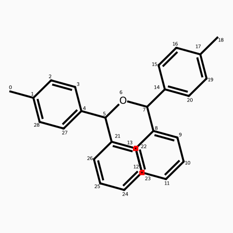 Cc1ccc(C(OC(c2ccccc2)c2ccc(C)cc2)c2ccccc2)cc1